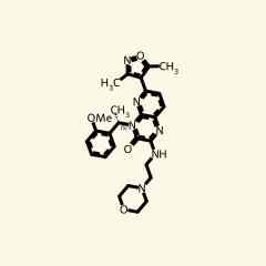 COc1ccccc1[C@H](C)n1c(=O)c(NCCN2CCOCC2)nc2ccc(-c3c(C)noc3C)nc21